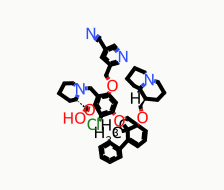 CC1(C)C(c2ccccc2)=CC=CC1(COc1cc(OCc2cncc(C#N)c2)c(CN2CCCC[C@H]2C(=O)O)cc1Cl)OC[C@@H]1CCCN2CCCC[C@H]12